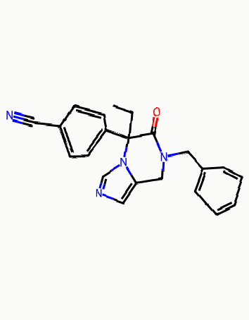 CCC1(c2ccc(C#N)cc2)C(=O)N(Cc2ccccc2)Cc2cncn21